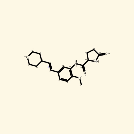 COc1ccc(/C=C/C2CCOCC2)cc1NC(=O)C1CCC(=O)N1